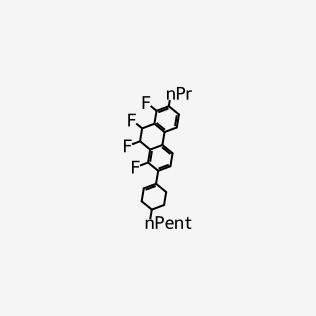 CCCCCC1CC=C(c2ccc3c(c2F)C(F)C(F)c2c-3ccc(CCC)c2F)CC1